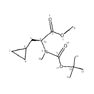 COC(=O)[C@H](CC1CC1)N(C)C(=O)OC(C)(C)C